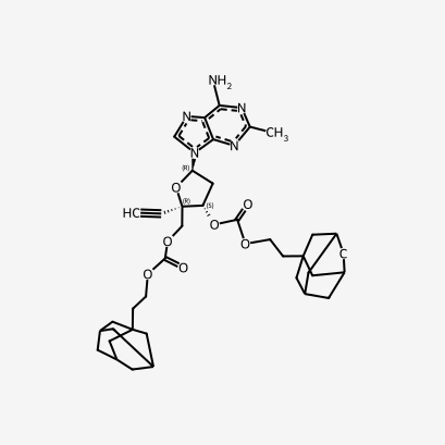 C#C[C@]1(COC(=O)OCCC23CC4CC(CC(C4)C2)C3)O[C@@H](n2cnc3c(N)nc(C)nc32)C[C@@H]1OC(=O)OCCC12CC3CC(CC(C3)C1)C2